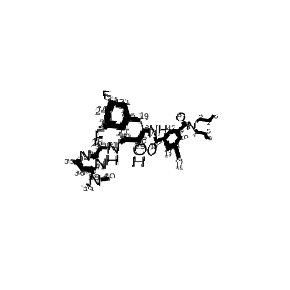 CCCN(CCC)C(=O)c1cc(C)cc(C(=O)N[C@@H](Cc2cc(F)cc(F)c2)[C@H](O)CNCc2nccc(N(C)C)n2)c1